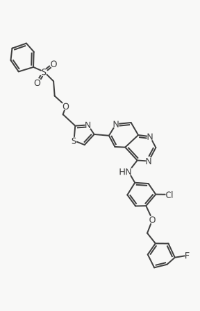 O=S(=O)(CCOCc1nc(-c2cc3c(Nc4ccc(OCc5cccc(F)c5)c(Cl)c4)ncnc3cn2)cs1)c1ccccc1